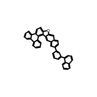 c1cc(-c2ccc3cc4oc5ccc6c7ccccc7c7ccccc7c6c5c4cc3c2)cc(-c2cccc3ccccc23)c1